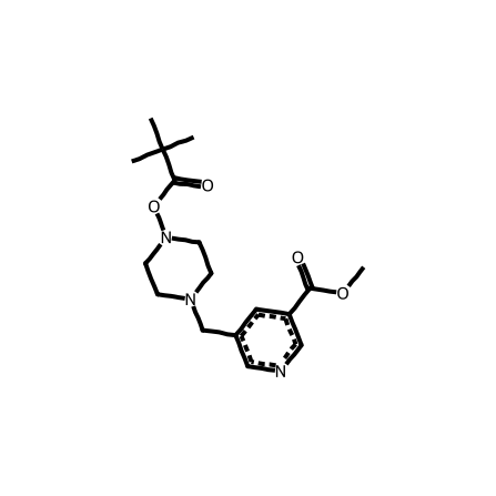 COC(=O)c1cncc(CN2CCN(OC(=O)C(C)(C)C)CC2)c1